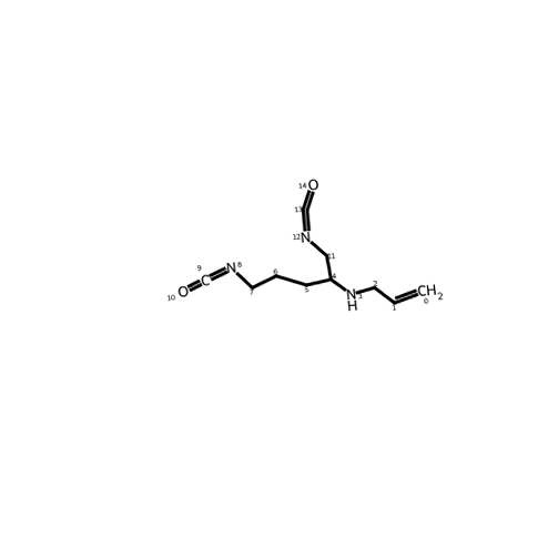 C=CCNC(CCCN=C=O)CN=C=O